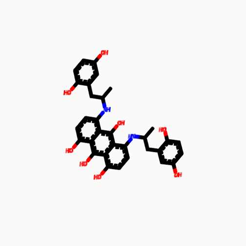 CC(Cc1cc(O)ccc1O)Nc1ccc(O)c2c(O)c3c(O)ccc(NC(C)Cc4cc(O)ccc4O)c3c(O)c12